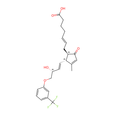 CC1=CC(=O)[C@H](CC=CCCCC(=O)O)[C@H]1C=C[C@@H](O)COc1cccc(C(F)(F)F)c1